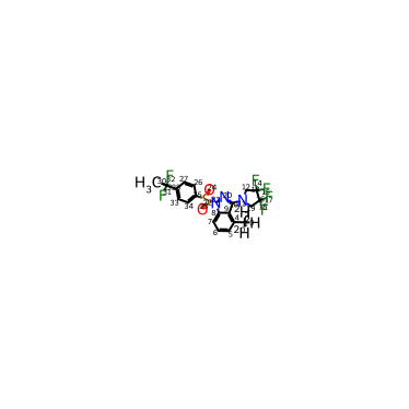 [2H]C([2H])([2H])c1cccc2c1c(N1CC(F)(F)C(F)(F)C1)nn2S(=O)(=O)c1ccc(C(C)(F)F)cc1